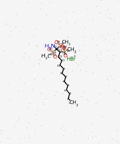 Br.CCCCCCCCCCCCC(C(N)(S(C)(=O)=O)S(C)(=O)=O)S(C)(=O)=O